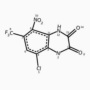 O=C1[N]c2c(Cl)cc(C(F)(F)F)c([N+](=O)[O-])c2NC1=O